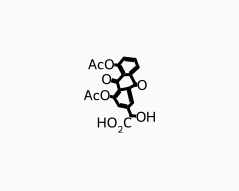 CC(=O)Oc1cccc2c1C(=O)c1c(OC(C)=O)cc(C(O)C(=O)O)cc1C2=O